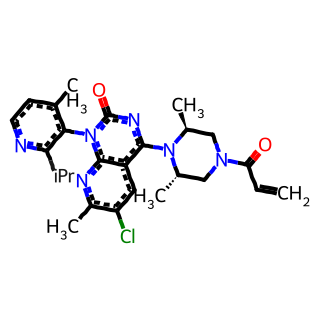 C=CC(=O)N1C[C@H](C)N(c2nc(=O)n(-c3c(C)ccnc3C(C)C)c3nc(C)c(Cl)cc23)[C@@H](C)C1